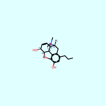 CCCc1cc(O)c2c3c1C[C@@H]1[C@@H]4C=C[C@H](O)[C@H](O2)[C@]34CCN1C